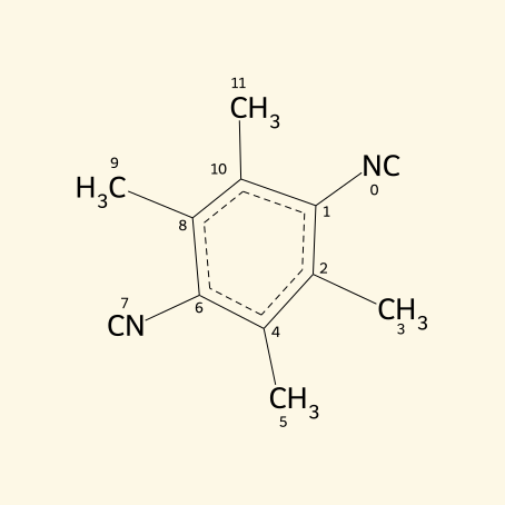 [C-]#[N+]c1c(C)c(C)c([N+]#[C-])c(C)c1C